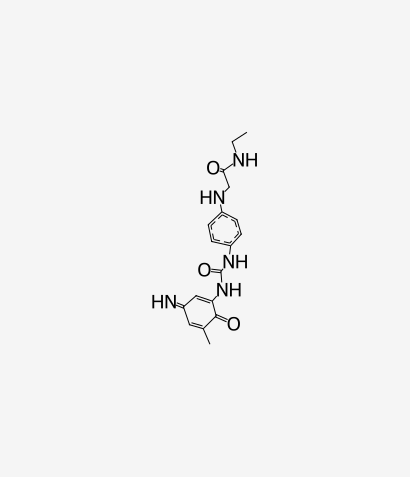 CCNC(=O)CNc1ccc(NC(=O)NC2=CC(=N)C=C(C)C2=O)cc1